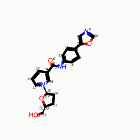 O=C(Nc1ccc(-c2cnco2)cc1)c1ccc[n+]([C@H]2CC[C@@H](CO)O2)c1